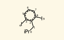 CC(C)Cc1c(I)cccc1I